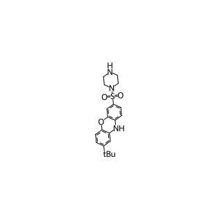 CC(C)(C)c1ccc2c(c1)Nc1ccc(S(=O)(=O)N3CCNCC3)cc1O2